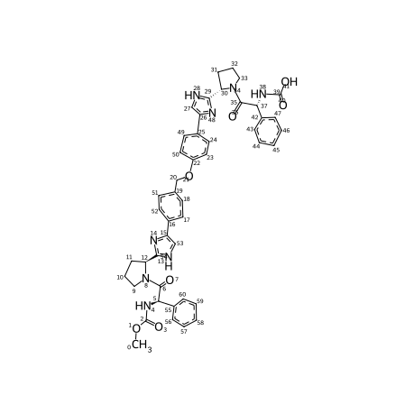 COC(=O)N[C@@H](C(=O)N1CCC[C@H]1c1nc(-c2ccc(COc3ccc(-c4c[nH]c([C@@H]5CCCN5C(=O)[C@H](NC(=O)O)c5ccccc5)n4)cc3)cc2)c[nH]1)c1ccccc1